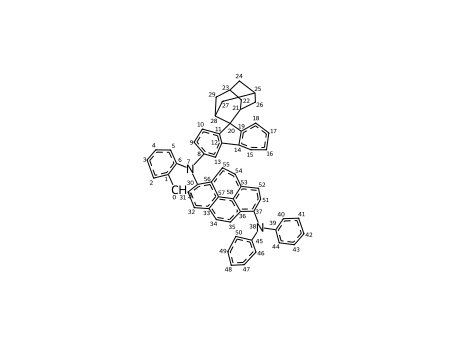 Cc1ccccc1N(c1ccc2c(c1)-c1ccccc1C21C2CC3CC(C2)CC1C3)c1ccc2ccc3c(N(c4ccccc4)c4ccccc4)ccc4ccc1c2c43